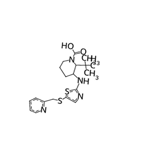 CC(C)(C)C1C(Nc2ncc(SCc3ccccn3)s2)CCCN1C(=O)O